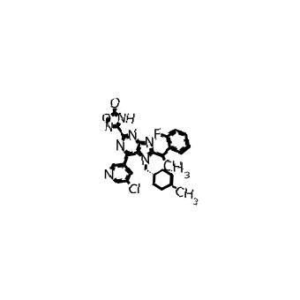 CC(c1ccccc1F)c1nc2nc(-c3noc(=O)[nH]3)nc(-c3cncc(Cl)c3)c2n1C[C@H]1CC[C@H](C)CC1